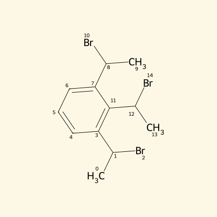 CC(Br)c1cccc(C(C)Br)c1C(C)Br